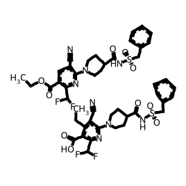 CCOC(=O)c1cc(C#N)c(N2CCC(C(=O)NS(=O)(=O)Cc3ccccc3)CC2)nc1C(F)F.CCc1c(C#N)c(N2CCC(C(=O)NS(=O)(=O)Cc3ccccc3)CC2)nc(C(F)F)c1C(=O)O